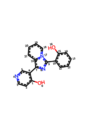 Oc1ccncc1-c1nc(-c2ccccc2O)n2ccccc12